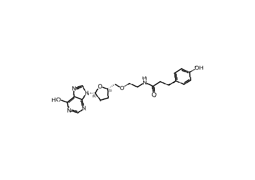 O=C(CCc1ccc(O)cc1)NCCOC[C@@H]1CC[C@H](n2cnc3c(O)ncnc32)O1